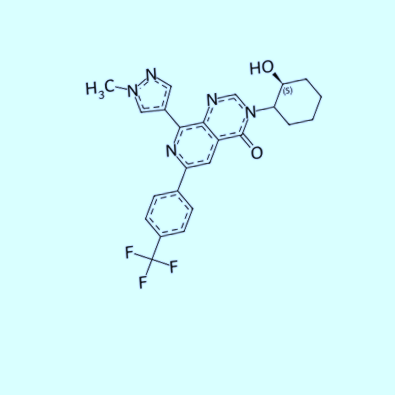 Cn1cc(-c2nc(-c3ccc(C(F)(F)F)cc3)cc3c(=O)n(C4CCCC[C@@H]4O)cnc23)cn1